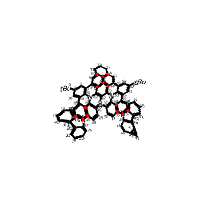 CC(C)(C)c1cc(-c2ccccc2)c(N2c3cc(-n4c5ccccc5c5ccccc54)ccc3B3c4ccc(-n5c6ccccc6c6c7c(ccc65)=C=7)cc4N(c4c(-c5ccccc5)cc(C(C)(C)C)cc4-c4ccccc4)c4cc(C5CCCCC5)cc2c43)c(-c2ccccc2)c1